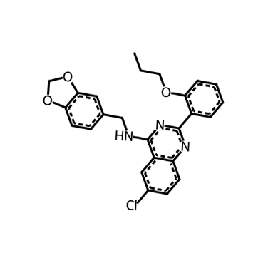 CCCOc1ccccc1-c1nc(NCc2ccc3c(c2)OCO3)c2cc(Cl)ccc2n1